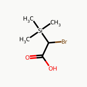 C[Si](C)(C)C(Br)C(=O)O